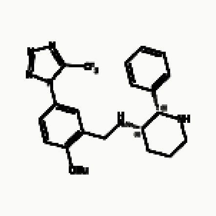 CC(C)COc1ccc(-n2nnnc2C(F)(F)F)cc1CN[C@H]1CCCN[C@H]1c1ccccc1